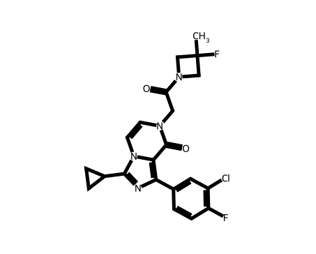 CC1(F)CN(C(=O)Cn2ccn3c(C4CC4)nc(-c4ccc(F)c(Cl)c4)c3c2=O)C1